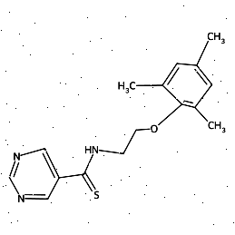 Cc1cc(C)c(OCCNC(=S)c2cncnc2)c(C)c1